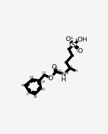 CC(CCCS(=O)(=O)O)NC(=O)OCc1ccccc1